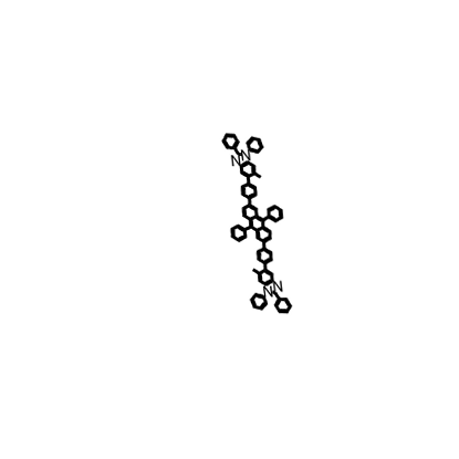 Cc1cc2c(cc1-c1ccc(-c3ccc4c(-c5ccccc5)c5cc(-c6ccc(-c7cc8nc(-c9ccccc9)n(-c9ccccc9)c8cc7C)cc6)ccc5c(-c5ccccc5)c4c3)cc1)nc(-c1ccccc1)n2-c1ccccc1